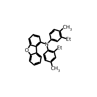 CCc1cc(N(c2ccc(C)cc2CC)c2cccc3oc4ccccc4c23)ccc1C